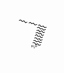 CCCCCC.CCCCCC.CCCCCC.CCCCCC.CCCCCC.CCCCCC.CCCCCC.CCCCCC.CCCCCC.CCCCCC.O